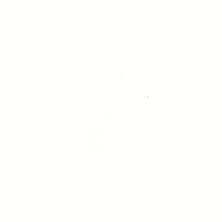 COc1cc(O[Si](C)(C)C(C)(C)C)cc(C=O)c1I